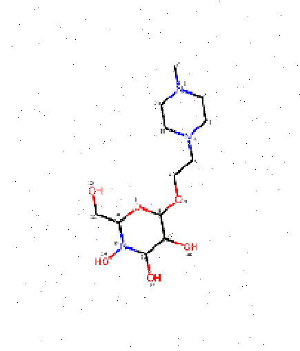 CN1CCN(CCOC2OC(CO)N(O)C(O)C2O)CC1